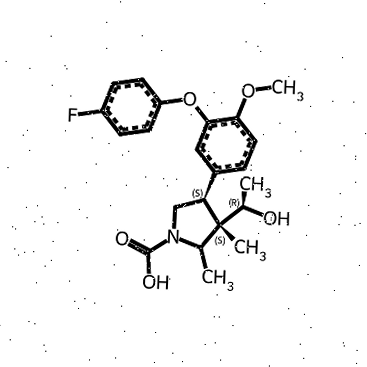 COc1ccc([C@@H]2CN(C(=O)O)C(C)[C@@]2(C)[C@@H](C)O)cc1Oc1ccc(F)cc1